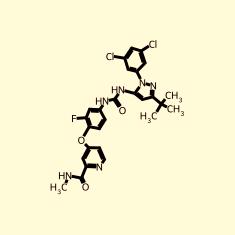 CNC(=O)c1cc(Oc2ccc(NC(=O)Nc3cc(C(C)(C)C)nn3-c3cc(Cl)cc(Cl)c3)cc2F)ccn1